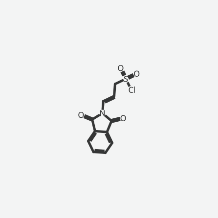 O=C1c2ccccc2C(=O)N1C=CCS(=O)(=O)Cl